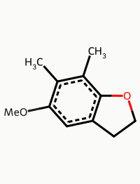 COc1cc2c(c(C)c1C)OCC2